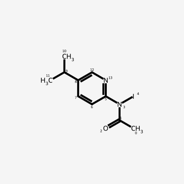 CC(=O)N(I)c1ccc(C(C)C)cn1